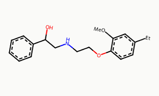 [CH2]Cc1ccc(OCCNCC(O)c2ccccc2)c(OC)c1